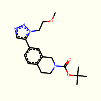 COCCn1nncc1-c1ccc2c(c1)CN(C(=O)OC(C)(C)C)CC2